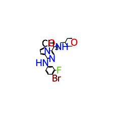 Cc1ccc2c(Nc3ccc(Br)c(F)c3)ncc(C(=O)NCC3CCOCC3)n12